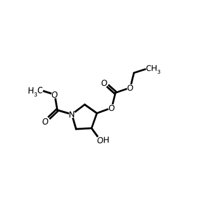 CCOC(=O)OC1CN(C(=O)OC)CC1O